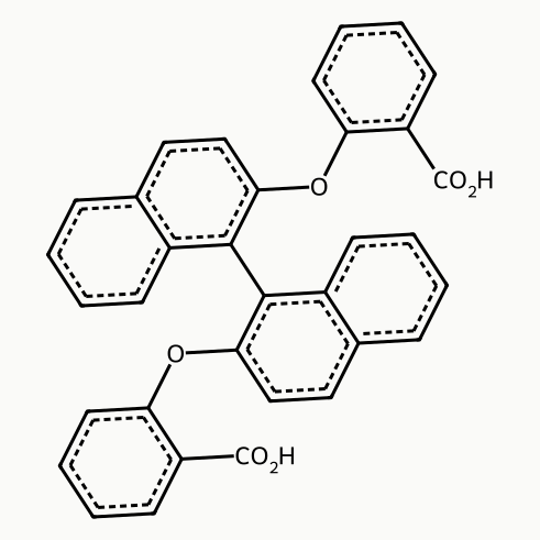 O=C(O)c1ccccc1Oc1ccc2ccccc2c1-c1c(Oc2ccccc2C(=O)O)ccc2ccccc12